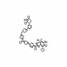 CC(=O)c1c(C)c2cnc(Nc3ccc(N4CCN(C(=O)N5CCN(CC6CCN(c7cccc(C8CCC(=O)NC8=O)c7)CC6)CC5)CC4)cn3)nc2n(C2CCCC2)c1=O